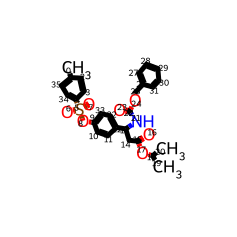 Cc1ccc(S(=O)(=O)Oc2ccc(C(CC(=O)OC(C)C)NC(=O)OCc3ccccc3)cc2)cc1